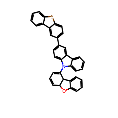 C1=CC2Oc3ccccc3C2C(n2c3ccccc3c3cc(-c4ccc5sc6ccccc6c5c4)ccc32)=C1